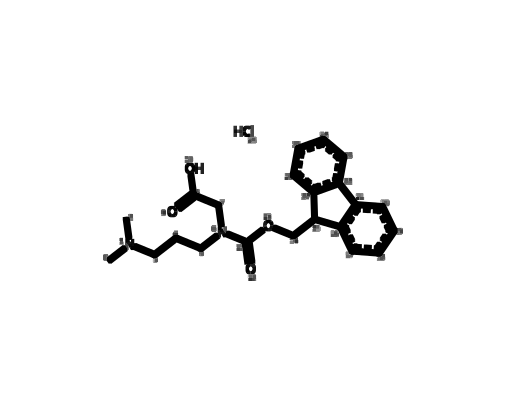 CN(C)CCCN(CC(=O)O)C(=O)OCC1c2ccccc2-c2ccccc21.Cl